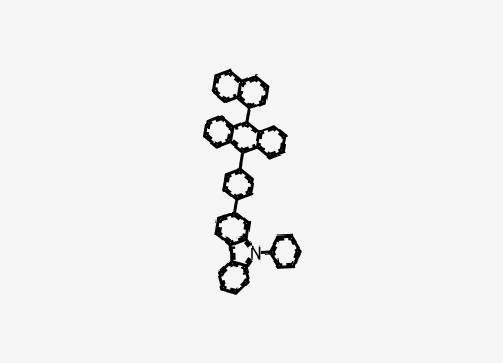 c1ccc(-n2c3ccccc3c3ccc(-c4ccc(-c5c6ccccc6c(-c6cccc7ccccc67)c6ccccc56)cc4)cc32)cc1